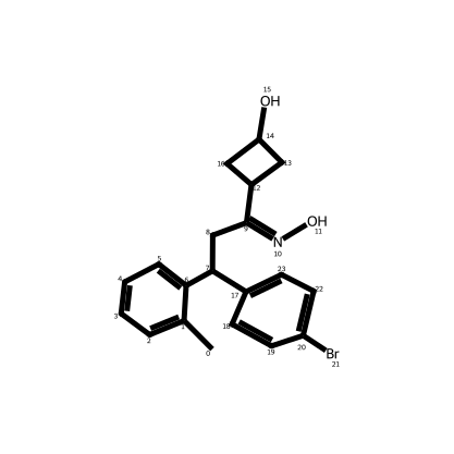 Cc1ccccc1C(CC(=NO)C1CC(O)C1)c1ccc(Br)cc1